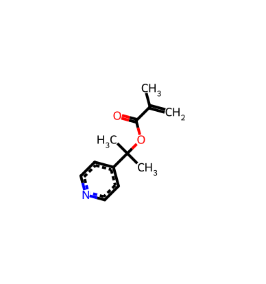 C=C(C)C(=O)OC(C)(C)c1ccncc1